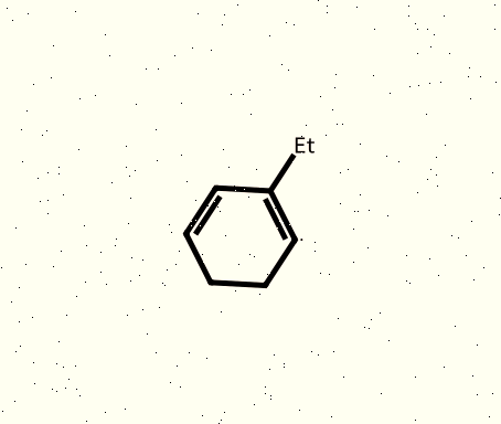 CCC1=[C]CCC=C1